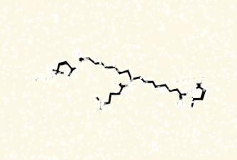 CCCCCC(F)(F)/C=C\C(C)SC(=O)CCCCCCCC(CCCCCCCC(=O)SC(C)/C=C\C(F)(F)CCCCC)OC(=O)CCCN(C)C